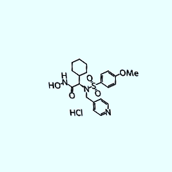 COc1ccc(S(=O)(=O)N(Cc2ccncc2)[C@@H](C(=O)NO)C2CCCCC2)cc1.Cl